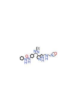 CCC1N=C(c2ccc(NC(=O)Nc3ccccc3)cc2)C(c2ccnc3[nH]c(CNCCN4CCOCC4)cc23)=N1